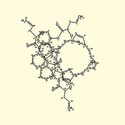 C=CCC(Cl)C(=O)Oc1ccccc1-c1c(-c2ccccc2OC(=O)C(Cl)CC=C)c2c(-c3ccccc3OC(=O)C(Cl)CC=C)c3nc(cc4ccc(cc5nc(cc1n2-c1ccccc1OC(=O)C(Cl)CC=C)C=C5)[nH]4)C=C3